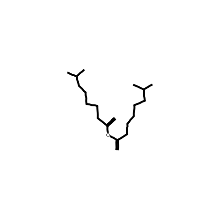 C=C(CCCCCC(C)C)OC(=C)CCCCCC(C)C